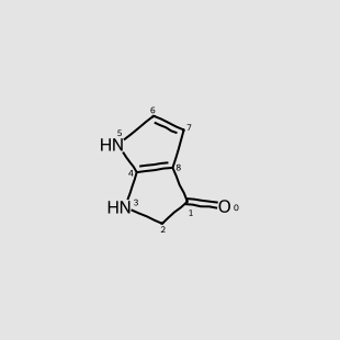 O=C1CNc2[nH]ccc21